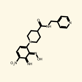 N=C1C([N+](=O)[O-])=CC=C(N2CCC(C(=O)NCc3ccncc3)CC2)/C1=N/O